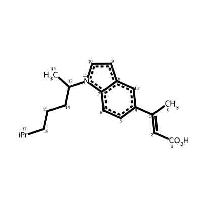 C/C(=C\C(=O)O)c1ccc2c(ccn2C(C)CCCC(C)C)c1